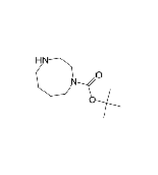 CC(C)(C)OC(=O)N1CCCCNCC1